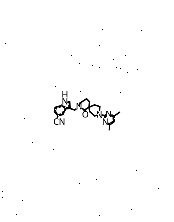 Cc1cc(C)nc(N2CCC3(CCCN(Cc4c[nH]c5ccc(C#N)cc45)C3=O)CC2)n1